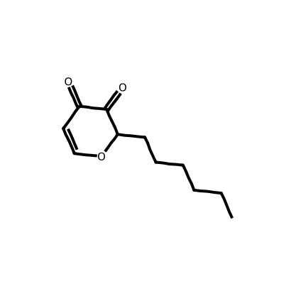 CCCCCCC1OC=CC(=O)C1=O